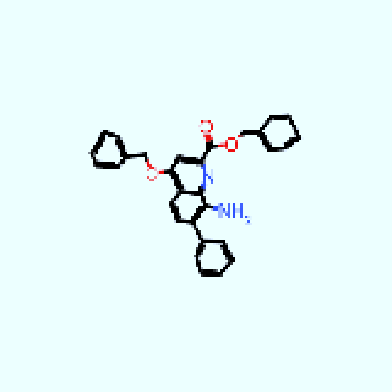 Nc1c(-c2ccccc2)ccc2c(OCc3ccccc3)cc(C(=O)OCc3ccccc3)nc12